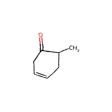 CC1CC=CCC1=O